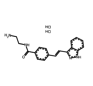 Cl.Cl.NCCNC(=O)c1ccc(C=Cc2n[nH]c3ccccc23)cc1